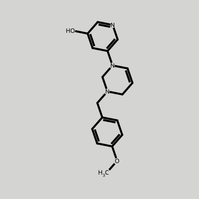 COc1ccc(CN2CC=CN(c3cncc(O)c3)C2)cc1